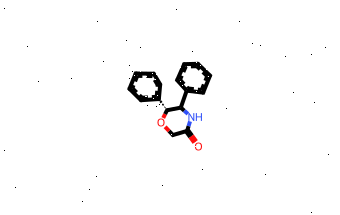 O=C1CO[C@H](c2ccccc2)C(c2ccccc2)N1